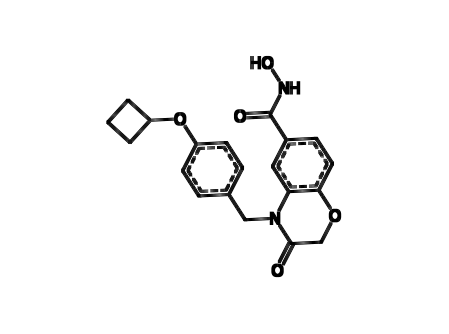 O=C(NO)c1ccc2c(c1)N(Cc1ccc(OC3CCC3)cc1)C(=O)CO2